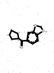 O=C(c1ccc2c(c1)OCO2)C1CCCC1